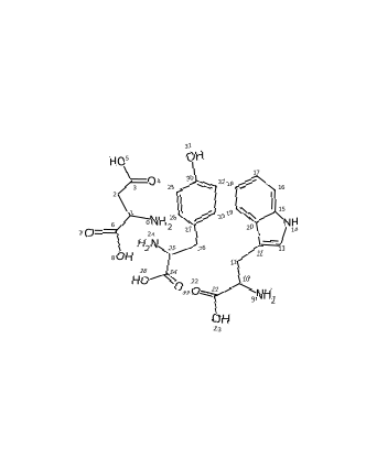 NC(CC(=O)O)C(=O)O.NC(Cc1c[nH]c2ccccc12)C(=O)O.NC(Cc1ccc(O)cc1)C(=O)O